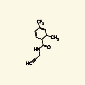 C#CCNC(=O)C1C=CC(C(F)(F)F)=CC1C